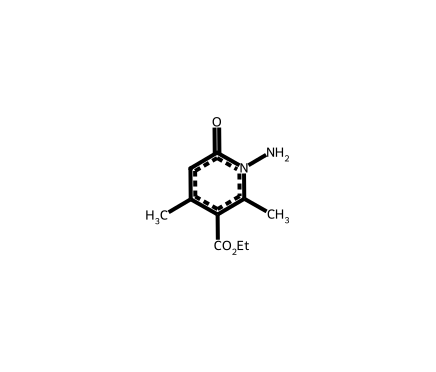 CCOC(=O)c1c(C)cc(=O)n(N)c1C